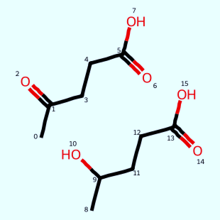 CC(=O)CCC(=O)O.CC(O)CCC(=O)O